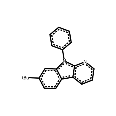 CC(C)(C)c1ccc2c3cccnc3n(-c3ccccc3)c2c1